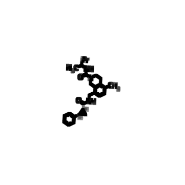 Cc1ccc(CNC(=O)[C@@H]2C[C@H]2c2ccccc2)c2c1CCN(C(=O)NC(C)C(C)C)C2